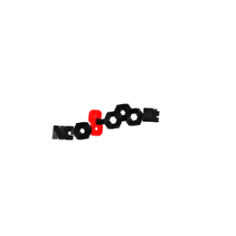 CCC1CCc2c(ccc3c2CCC(C(=O)Oc2ccc(C#N)cc2)C3)C1